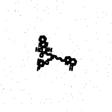 O=C(O)[C@H](CCN(CCCCc1ccc2c(n1)NCCC2)CCOc1cncc(F)c1)Nc1cnc2ccccc2n1